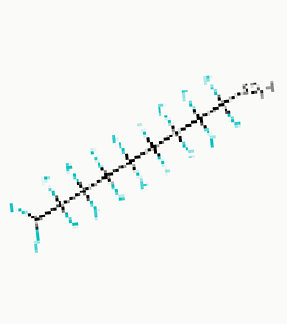 O=S(=O)(O)C(F)(F)C(F)(F)C(F)(F)C(F)(F)C(F)(F)C(F)(F)C(F)(F)C(F)(F)C(F)F